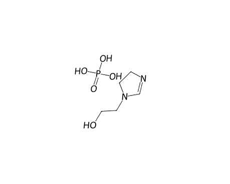 O=P(O)(O)O.OCCN1C=NCC1